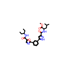 CCC(CC)NC(=O)c1cnc(-c2cccc(-c3cc(C(=O)NC(CC(C)C)C(=O)OC)n[nH]3)c2)o1